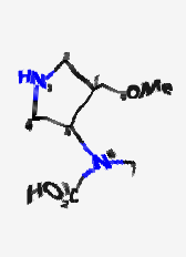 COC1CNCC1N(C)C(=O)O